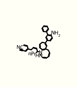 C#C/C=C(\C=C/C#N)C/C=C\C(CCC)N1N/C=C\C=C/CC2=C1C=CCC(c1ccc(N)c(-c3ccccc3)c1)=C2